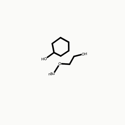 CCCCOCCO.OC1CCCCC1